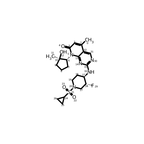 Cc1cc(=O)n([C@@H]2CCC[C@@]2(C)O)c2nc(N[C@@H]3CCN(S(=O)(=O)C4CC4)C[C@H]3F)ncc12